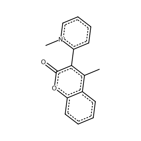 Cc1c(-c2cccc[n+]2C)c(=O)oc2ccccc12